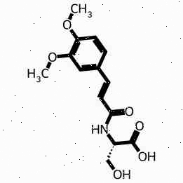 COc1ccc(/C=C/C(=O)N[C@@H](CO)C(=O)O)cc1OC